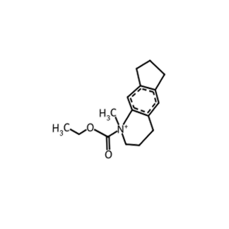 CCOC(=O)[N+]1(C)CCCc2cc3c(cc21)CCC3